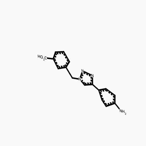 Nc1ccc(-c2cn(Cc3cccc(C(=O)O)c3)nn2)cc1